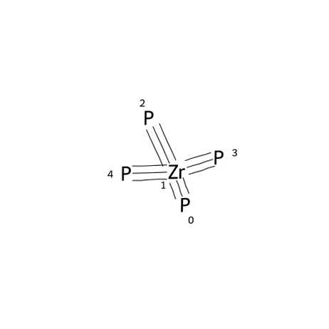 [P]#[Zr](#[P])(#[P])#[P]